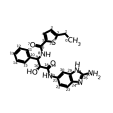 CCc1ccc(C(=O)NC(c2ccccc2)C(O)C(=O)Nc2ccc3nc(N)[nH]c3c2)s1